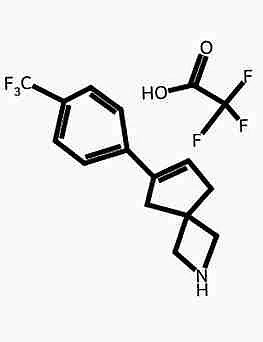 FC(F)(F)c1ccc(C2=CCC3(CNC3)C2)cc1.O=C(O)C(F)(F)F